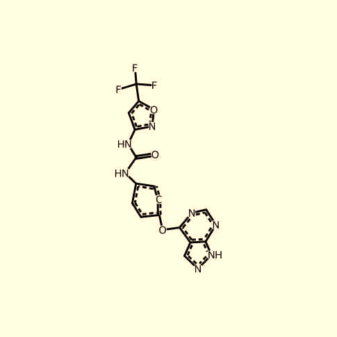 O=C(Nc1ccc(Oc2ncnc3[nH]ncc23)cc1)Nc1cc(C(F)(F)F)on1